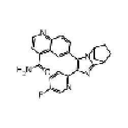 NC(=O)c1ccnc2ccc(-c3c(-c4ccc(F)cn4)nc4n3C3CCC4C3)cc12